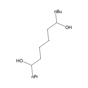 CCCCC(O)C[CH]CCC(O)CCC